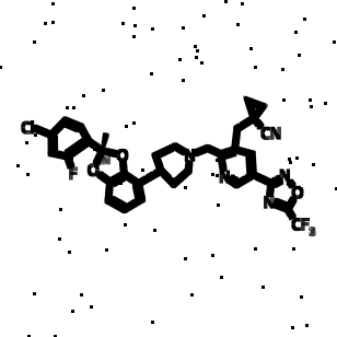 C[C@]1(c2ccc(Cl)cc2F)Oc2cccc(C3CCN(Cc4ncc(-c5noc(C(F)(F)F)n5)cc4CC4(C#N)CC4)CC3)c2O1